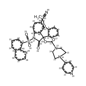 CCOc1ccccc1C1(OC(=O)N2CCN(c3ccncc3)CC2)C(=O)N(S(=O)(=O)c2cccc3cccnc23)c2ccc(C#N)cc21